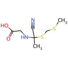 CSCSC(C)(C#N)NCC(=O)O